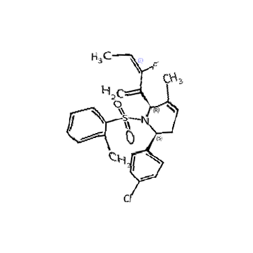 C=C(/C(F)=C\C)[C@H]1C(C)=CC[C@@H](c2ccc(Cl)cc2)N1S(=O)(=O)c1ccccc1C